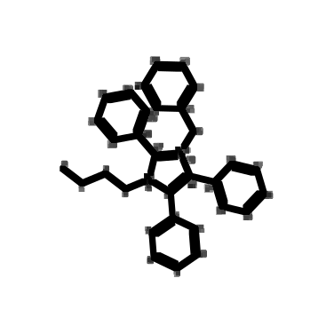 CCCCn1c(-c2ccccc2)c(-c2ccccc2)[n+](Cc2ccccc2)c1-c1ccccc1